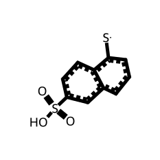 O=S(=O)(O)c1ccc2c([S])cccc2c1